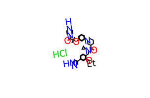 CCOc1cc(-c2cn[nH]c2)ccc1CN(C(=O)C1CCCN(c2cccc(OC(C)(C)C(=O)N3CCNCC3)c2)C1)C1CC1.Cl